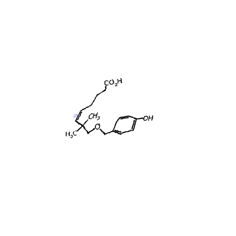 CC(C)(/C=C\CCCC(=O)O)COCc1ccc(O)cc1